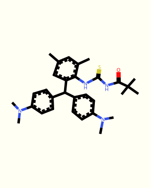 Cc1cc(C)c(NC(=S)NC(=O)C(C)(C)C)c(C(c2ccc(N(C)C)cc2)c2ccc(N(C)C)cc2)c1